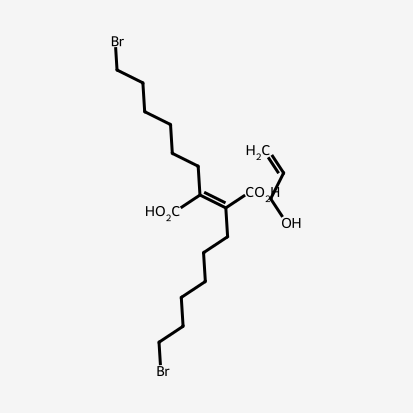 C=CCO.O=C(O)/C(CCCCCCBr)=C(\CCCCCCBr)C(=O)O